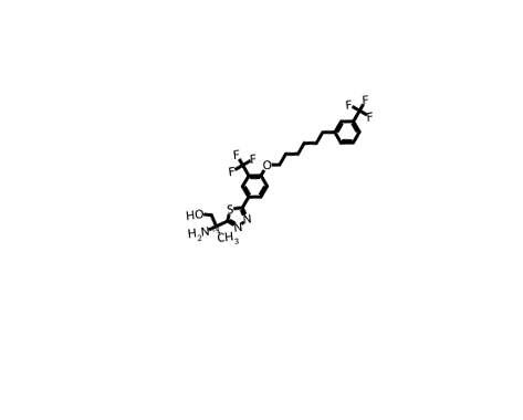 C[C@](N)(CO)c1nnc(-c2ccc(OCCCCCCc3cccc(C(F)(F)F)c3)c(C(F)(F)F)c2)s1